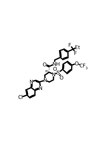 CCC(F)(F)c1ccc(CNC(=O)[C@H]2CN(c3cnc4cc(Cl)ccc4n3)CCN2S(=O)(=O)c2ccc(OC(F)(F)F)cc2)cc1